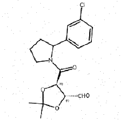 CC1(C)O[C@@H](C=O)[C@H](C(=O)N2CCCC2c2cccc(Cl)c2)O1